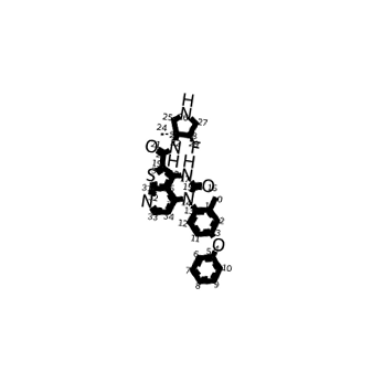 Cc1cc(Oc2ccccc2)ccc1N1C(=O)Nc2c(C(=O)N[C@@]3(C)CNC[C@H]3F)sc3nccc1c23